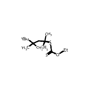 CCOC(=S)SC(C)(C)CC(C)(C)C(C)(C)C